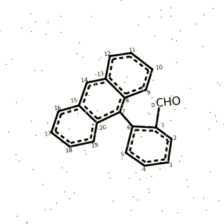 O=Cc1ccccc1-c1c2ccccc2cc2ccccc12